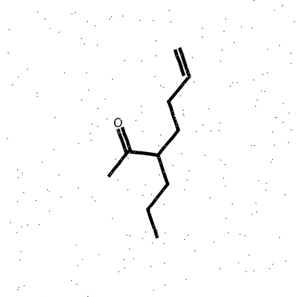 C=CCCC(CCC)C(C)=O